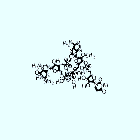 CCS(=O)(=O)NC[C@H]1[C@@H](O)[C@H](n2c[n+](C)c3c(=O)[nH]c(N)nc32)O[C@@H]1COP(=O)(O)OP(=O)(O)OP(=O)(O)OC[C@H]1O[C@@H](n2cnc3c(N)ncnc32)[C@H](OC)[C@@H]1OP(=O)(O)OC[C@H]1O[C@@H](n2ccc(=O)[nH]c2=O)[C@H](O)[C@@H]1O